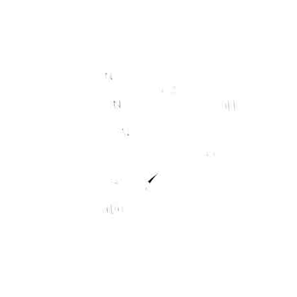 CC(=O)OC1C(O)O[C@H](C)[C@@H](O[Si](C)(C)C(C)(C)C)[C@@H]1N=[N+]=[N-]